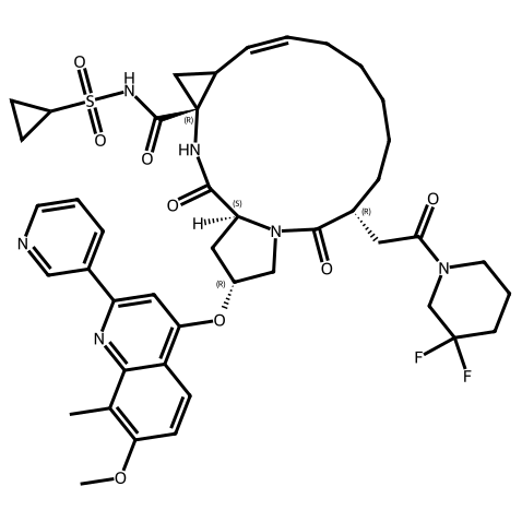 COc1ccc2c(O[C@@H]3C[C@H]4C(=O)N[C@]5(C(=O)NS(=O)(=O)C6CC6)CC5C=CCCCCC[C@H](CC(=O)N5CCCC(F)(F)C5)C(=O)N4C3)cc(-c3cccnc3)nc2c1C